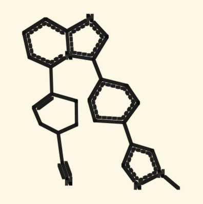 Cn1cc(-c2ccc(-c3cnc4cccc(C5=CCC(C#N)CC5)n34)cc2)cn1